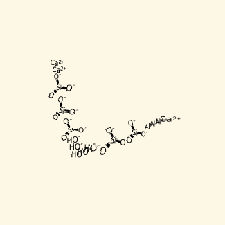 O=[Si]([O-])[O-].O=[Si]([O-])[O-].O=[Si]([O-])[O-].O=[Si]([O-])[O-].O=[Si]([O-])[O-].[Al+3].[Al+3].[Al+3].[Ca+2].[Ca+2].[Ca+2].[OH-].[OH-].[OH-].[OH-].[OH-]